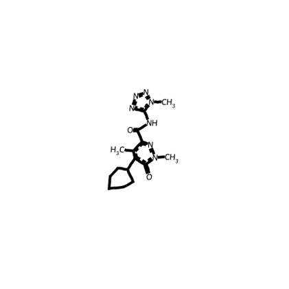 Cc1c(C(=O)Nc2nnnn2C)nn(C)c(=O)c1C1CCCCC1